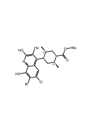 C[C@H]1CN(c2c(C#N)c(O)nc3c(O)c(Br)c(Cl)cc23)[C@@H](C)CN1C(=O)OC(C)(C)C